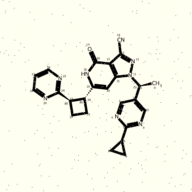 C[C@@H](c1cnc(C2CC2)nc1)n1nc(C#N)c2c(=O)[nH]c([C@@H]3CC[C@H]3c3ncccn3)cc21